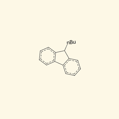 C[CH]CCC1c2ccccc2-c2ccccc21